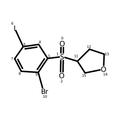 O=S(=O)(c1cc(I)ccc1Br)C1CCOC1